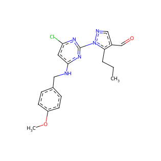 CCCc1c(C=O)cnn1-c1nc(Cl)cc(NCc2ccc(OC)cc2)n1